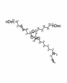 C#CCN(C)CCCCCCO[Si](C)(C)OC(CCSSCCCCCCCCCCCC)OCCCCCCCCCCCCCCCC